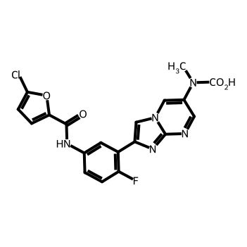 CN(C(=O)O)c1cnc2nc(-c3cc(NC(=O)c4ccc(Cl)o4)ccc3F)cn2c1